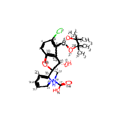 CC1(C)OB(c2c(Cl)ccc3c2[C@H](O)[C@@](CNC(=O)O)(c2ccccn2)O3)OC1(C)C